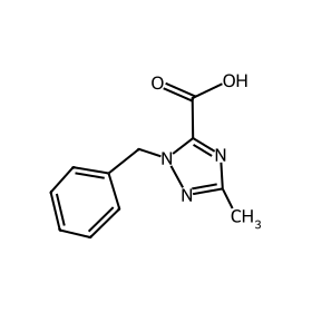 Cc1nc(C(=O)O)n(Cc2ccccc2)n1